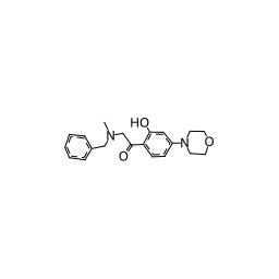 CN(CC(=O)c1ccc(N2CCOCC2)cc1O)Cc1ccccc1